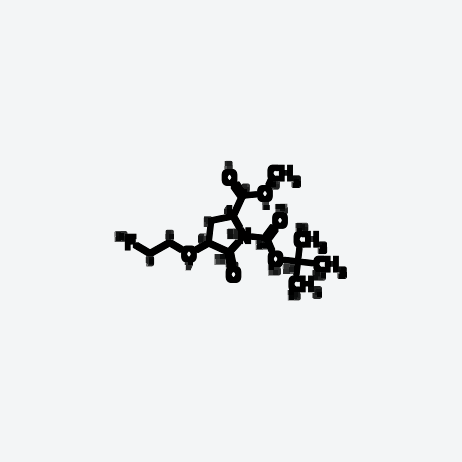 COC(=O)C1CC(OCCF)C(=O)N1C(=O)OC(C)(C)C